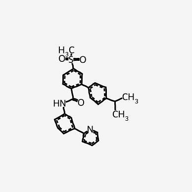 CC(C)c1ccc(-c2cc(S(C)(=O)=O)ccc2C(=O)Nc2cccc(-c3ccccn3)c2)cc1